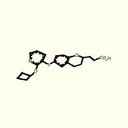 O=C(O)CCC1CCc2cc(Sc3cccnc3OC3CCC3)ccc2O1